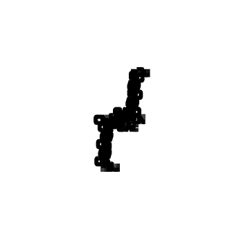 [C-]#[N+]C(C(=O)OC1CCC(C(=O)Oc2ccc(C(=O)OCCCC)cc2)CC1)=C1Sc2c(OC(C)=O)c3c(c(OC(C)=O)c2S1)SC(=C(C#N)C(=O)OC1CCC(C(=O)Oc2ccc(C(=O)OCCCC)cc2)CC1)S3